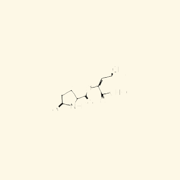 C=CC=C(OC(=O)C1CCC(=O)N1)C(=O)C=O